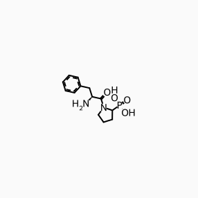 N[C@@H](Cc1ccccc1)C(=O)N1CCCC1P(=O)(O)O